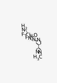 CCn1cc(-c2ccnc(-n3cnn(CC(CN)=C(F)F)c3=O)c2)cn1